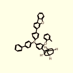 Cc1ccccc1Oc1cc(N(c2ccc(-c3ccccc3)cc2)c2ccc(-c3ccc4c(c3)oc3ccccc34)cc2)ccc1C1[C@H]2C[C@H]3C[C@H](C[C@H]1C3)C2